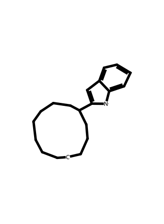 C1=C(C2CCCCCCCCCCC2)[N]c2ccccc21